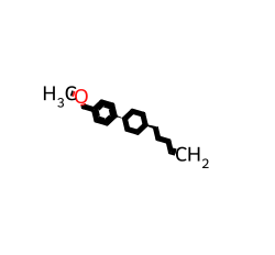 C=CCCC[C@H]1CC[C@H](c2ccc(COC)cc2)CC1